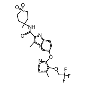 Cc1ccnc(Oc2ccc3nc(C(=O)NC4(C)CCS(=O)(=O)CC4)c(C)n3c2)c1OCC(F)(F)F